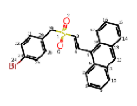 O=S(=O)(C=Cc1c2ccccc2cc2ccccc12)Cc1ccc(Br)cc1